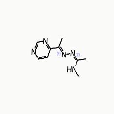 CN/C(C)=N\N=C(/C)c1ccncn1